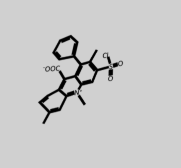 Cc1ccc2c(C(=O)[O-])c3c(-c4ccccc4)c(C)c(S(=O)(=O)Cl)cc3[n+](C)c2c1